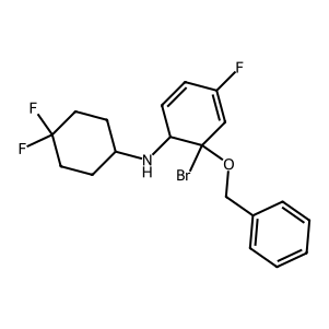 FC1=CC(Br)(OCc2ccccc2)C(NC2CCC(F)(F)CC2)C=C1